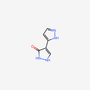 O=c1[nH][nH]cc1-c1ccn[nH]1